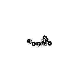 O=C(Nc1ccc(N2CCN(Cc3ccco3)CC2)nc1)C(=O)c1c(-c2ccccc2)cc2ccccn12